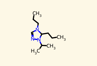 CCCC1N(CCC)C=NN1C(C)C